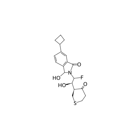 O=C1CCSC[C@H]1[C@@H](O)C(F)N1C(=O)c2cc(C3CCC3)ccc2C1O